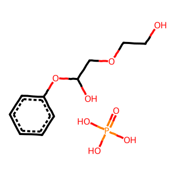 O=P(O)(O)O.OCCOCC(O)Oc1ccccc1